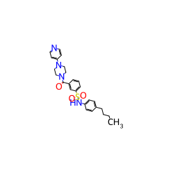 CCCCc1ccc(NS(=O)(=O)c2cccc(C(=O)N3CCN(c4ccncc4)CC3)c2)cc1